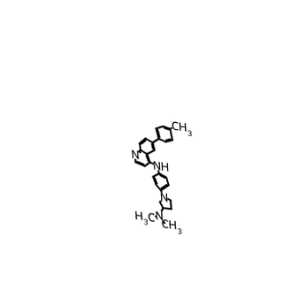 Cc1ccc(-c2ccc3nccc(Nc4ccc(N5CCC(N(C)C)C5)cc4)c3c2)cc1